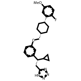 COc1ccc(F)c([C@H]2CC[C@@H](COc3cccc([C@@H](Cc4nnn[nH]4)C4CC4)c3)CC2)c1